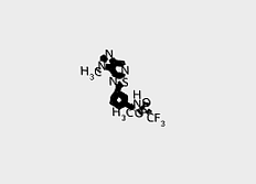 C[C@H](NS(=O)(=O)CC(F)(F)F)c1cccc(-c2nc3c(ncc4ncn(C)c43)s2)c1